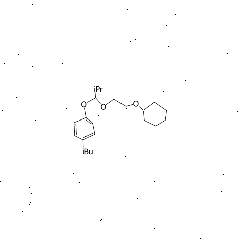 CCC(C)c1ccc(OC(OCCOC2CCCCC2)C(C)C)cc1